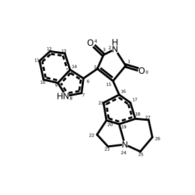 O=C1NC(=O)C(c2c[nH]c3ccccc23)=C1c1cc2c3c(c1)CCN3CCC2